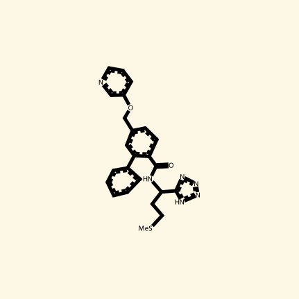 CSCCC(NC(=O)c1ccc(COc2cccnc2)cc1-c1ccccc1)c1nnn[nH]1